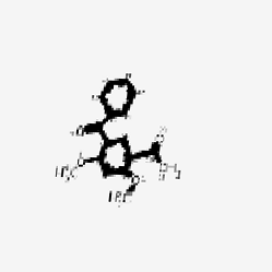 COc1cc(OC)c(C(=O)c2ccccc2)cc1C(C)=O